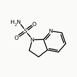 NS(=O)(=O)N1CCc2cccnc21